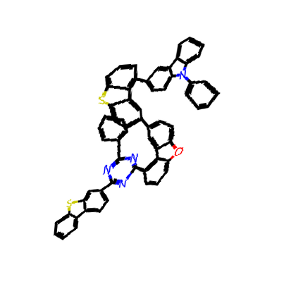 c1ccc(-c2nc(-c3ccc4c(c3)sc3ccccc34)nc(-c3cccc4oc5ccc(-c6ccc7sc8cccc(-c9ccc%10c(c9)c9ccccc9n%10-c9ccccc9)c8c7c6)cc5c34)n2)cc1